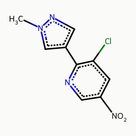 Cn1cc(-c2ncc([N+](=O)[O-])cc2Cl)cn1